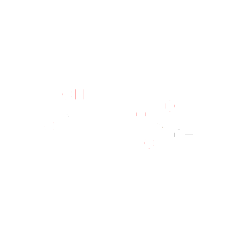 CS(=O)(=O)Oc1cccc(C(=O)O)c1